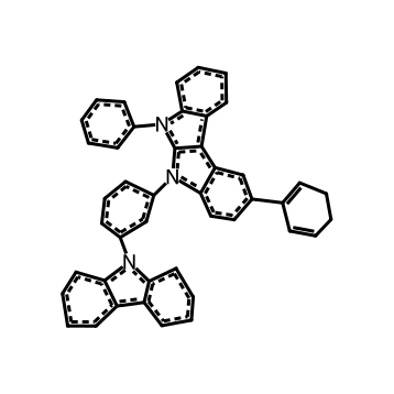 C1=CC(c2ccc3c(c2)c2c4ccccc4n(-c4ccccc4)c2n3-c2cccc(-n3c4ccccc4c4ccccc43)c2)=CCC1